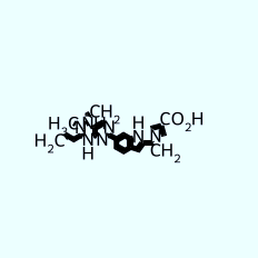 C=CCC(Nc1ccnc(-c2ccc3cc(C(=C)N4CC(C(=O)O)C4)[nH]c3c2)n1)N(C)NC=C